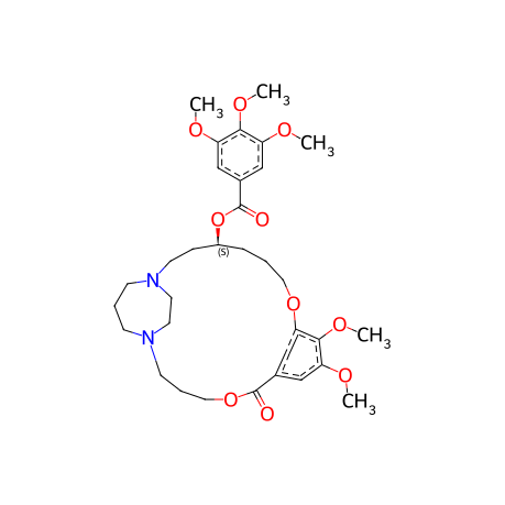 COc1cc(C(=O)O[C@H]2CCCOc3cc(cc(OC)c3OC)C(=O)OCCCN3CCCN(CC2)CC3)cc(OC)c1OC